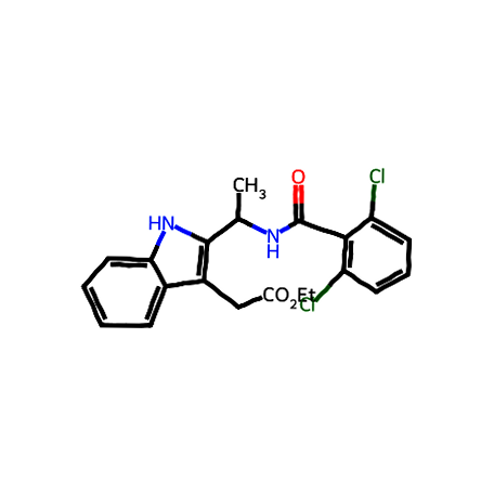 CCOC(=O)Cc1c(C(C)NC(=O)c2c(Cl)cccc2Cl)[nH]c2ccccc12